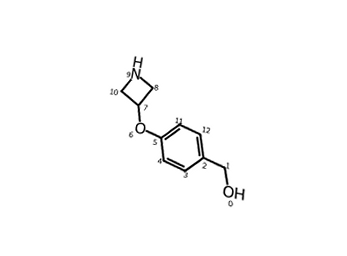 OCc1ccc(OC2CNC2)cc1